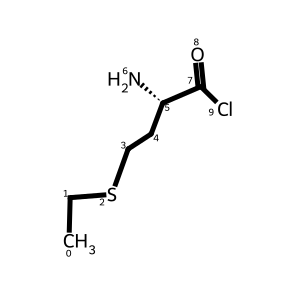 CCSCC[C@H](N)C(=O)Cl